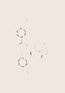 O=C(N[C@@H](Cc1ccc(O)cc1)C(=O)N1CC[C@H]2OCC(=O)[C@H]21)c1ccc(OC(F)(F)F)cc1